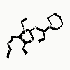 C=C/N=C\c1c(C=C)nc(/N=C(\C=C)N2CCCCC2)n1C=C